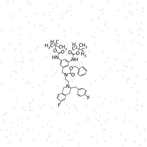 CC(C)(C)OC(=O)Nc1cc(CN(CCN2Cc3ccc(F)cc3CC2Cc2ccc(F)cc2)C(=O)OCc2ccccc2)cc(NC(=O)OC(C)(C)C)c1